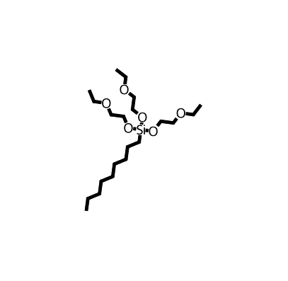 CCCCCCCCC[Si](OCCOCC)(OCCOCC)OCCOCC